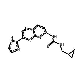 S=C(NCC1CC1)Nc1ccc2ncc(-c3ncc[nH]3)nc2n1